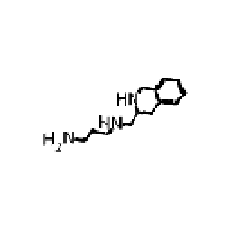 NCCCNCC1Cc2ccccc2CN1